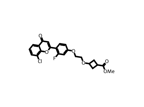 COC(=O)C1CC(OCCOc2ccc(-c3cc(=O)c4cccc(Cl)c4o3)c(F)c2)C1